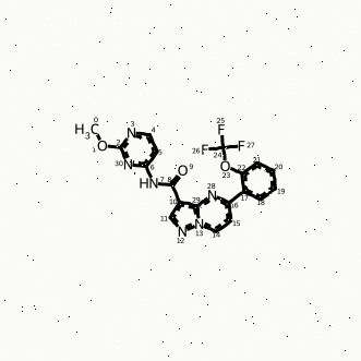 COc1nccc(NC(=O)c2cnn3ccc(-c4ccccc4OC(F)(F)F)nc23)n1